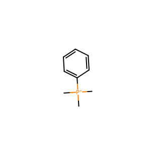 C[P+](C)(C)c1ccccc1